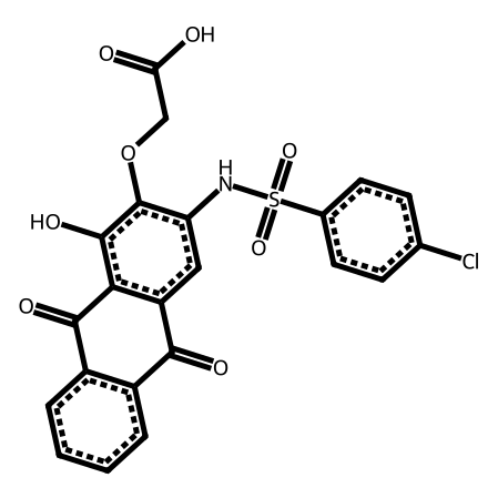 O=C(O)COc1c(NS(=O)(=O)c2ccc(Cl)cc2)cc2c(c1O)C(=O)c1ccccc1C2=O